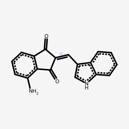 Nc1cccc2c1C(=O)/C(=C\c1c[nH]c3ccccc13)C2=O